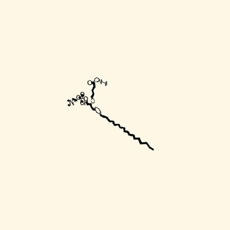 CCCCCCCCCCCCCCCCCCOCC(COP(=O)(O)OCC[N+](C)(C)C)OCCCCC(=O)O